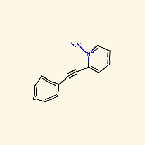 N[n+]1ccccc1C#Cc1ccccc1